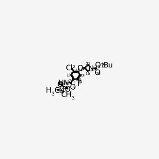 CN(C)S(=O)(=O)NC(=O)c1cc(Cl)c(OC2CN(C(=O)OC(C)(C)C)C2)cc1F